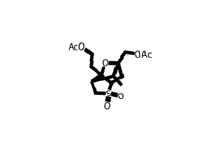 CC(=O)OCCC12OC3(COC(C)=O)CC1S(=O)(=O)CC2C3C